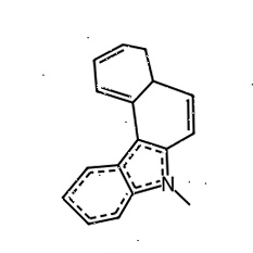 Cn1c2c(c3ccccc31)C1=CC=CCC1C=C2